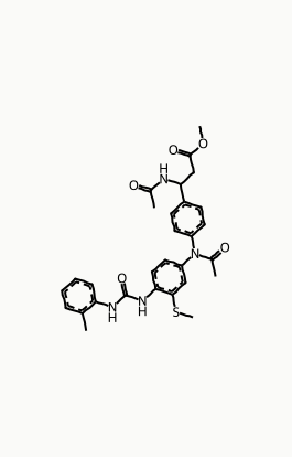 COC(=O)CC(NC(C)=O)c1ccc(N(C(C)=O)c2ccc(NC(=O)Nc3ccccc3C)c(SC)c2)cc1